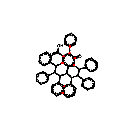 CC(C)CC(CC(c1ccccc1)C(c1ccccc1)C(c1ccccc1)C(c1ccccc1)C(c1ccccc1)C(c1ccccc1)C(SC(=S)Cc1ccccc1)c1ccccc1)C(=O)O